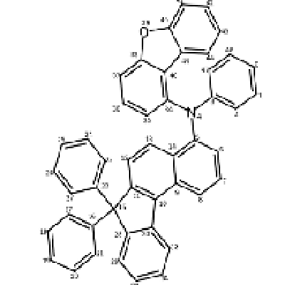 c1ccc(N(c2cccc3c4c(ccc23)C(c2ccccc2)(c2ccccc2)c2ccccc2-4)c2cccc3oc4ccccc4c23)cc1